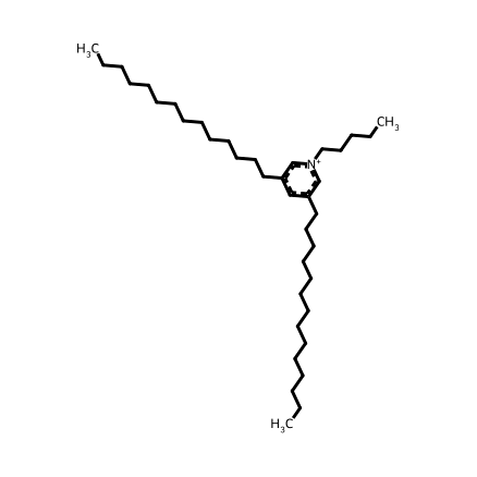 CCCCCCCCCCCCCCc1cc(CCCCCCCCCCCCCC)c[n+](CCCCC)c1